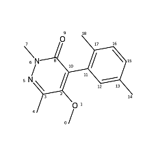 COc1c(C)nn(C)c(=O)c1-c1cc(C)ccc1C